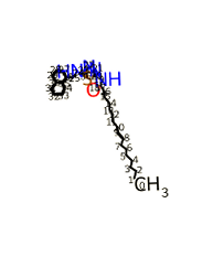 CCCCCCCC/C=C/CCCCCCCC(=O)Nc1nnc(NCc2cccc3ccccc23)s1